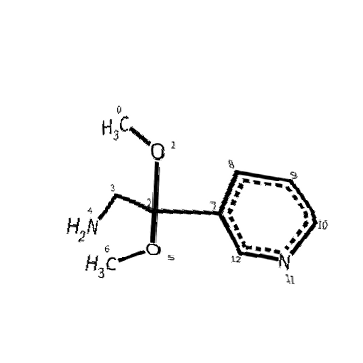 COC(CN)(OC)c1cccnc1